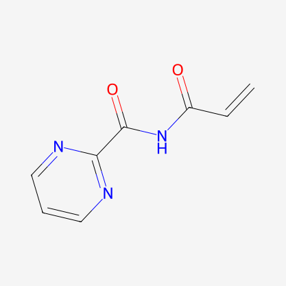 C=CC(=O)NC(=O)c1ncccn1